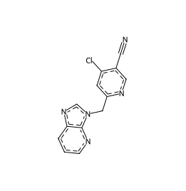 N#Cc1cnc(Cn2cnc3cccnc32)cc1Cl